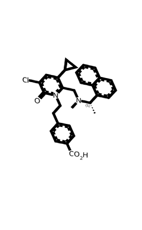 C[C@@H](c1cccc2ccccc12)N(C)Cc1c(C2CC2)cc(Cl)c(=O)n1CCc1ccc(C(=O)O)cc1